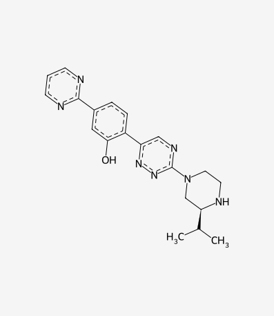 CC(C)[C@H]1CN(c2ncc(-c3ccc(-c4ncccn4)cc3O)nn2)CCN1